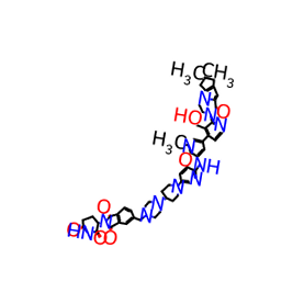 Cn1cc(-c2ccnc(N3CCn4c(cc5c4CC(C)(C)C5)C3=O)c2CO)cc(Nc2ccc(N3CCC(N4CCN(Cc5ccc6c(c5)C(=O)N(C5CCC(=O)NC5=O)C6=O)CC4)CC3)cn2)c1=O